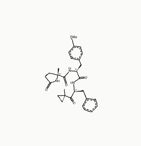 COc1ccc(C[C@H](NC(=O)[C@@]2(C)CCC(=O)N2)C(=O)N[C@@H](Cc2ccccc2)C(=O)C2(C)CC2)cc1